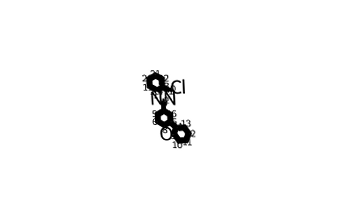 Clc1nc(-c2ccc3oc4ccccc4c3c2)nc2ccccc12